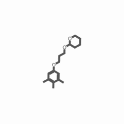 Cc1cc(OCCCOC2CCCCO2)cc(C)c1C